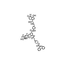 Cc1ccc(C(=O)Nc2ccc(CNC[C@H](O)c3ccc(O)c4[nH]c(=O)ccc34)cc2)cc1N(C)C(=O)CCN1CCC(OC(=O)Nc2ccccc2-c2ccccc2)CC1.O=C(O)C(F)(F)F.O=C(O)C(F)(F)F